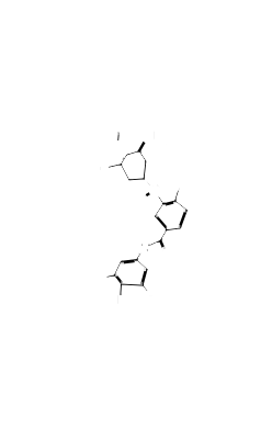 C=C1C[C@@H](S(=O)(=O)c2cc(C(=O)Nc3cc(F)c(F)c(F)c3)ccc2Cl)CC(C)[C@@H]1CO